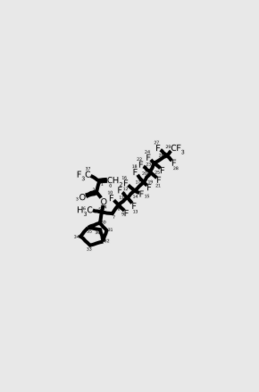 C=C(C(=O)OC(C)(CC(F)(F)C(F)(F)C(F)(F)C(F)(F)C(F)(F)C(F)(F)C(F)(F)C(F)(F)F)C1CC2CCC1C2)C(F)(F)F